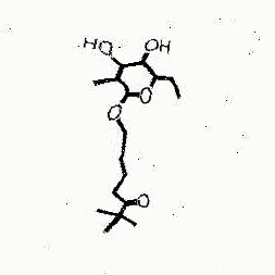 CCC1OC(OCCCCC(=O)C(C)(C)C)C(C)C(O)C1O